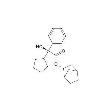 O=C(O[C@@H]1CC2CCC1C2)[C@@](O)(c1ccccc1)C1CCCC1